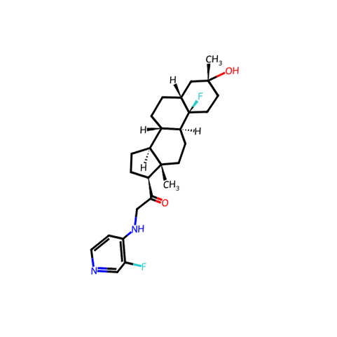 C[C@@]1(O)CC[C@@]2(F)[C@H](CC[C@H]3[C@@H]4CC[C@H](C(=O)CNc5ccncc5F)[C@@]4(C)CC[C@@H]32)C1